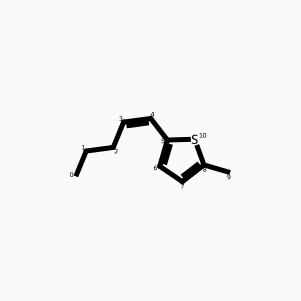 CCC/C=C\c1ccc(C)s1